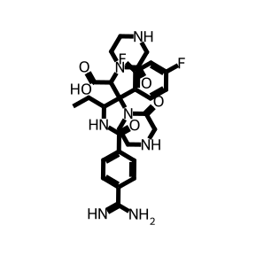 CCC(NC(=O)c1ccc(C(=N)N)cc1)C(c1ccc(F)cc1F)(C(C(=O)O)N1CCNCC1=O)N1CCNCC1=O